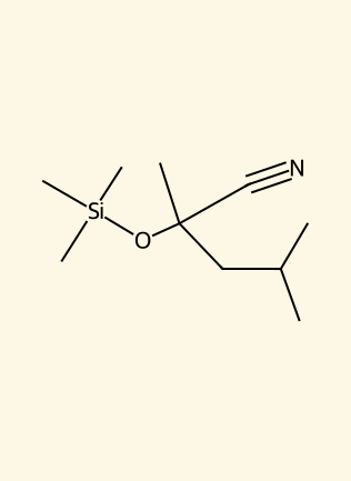 CC(C)CC(C)(C#N)O[Si](C)(C)C